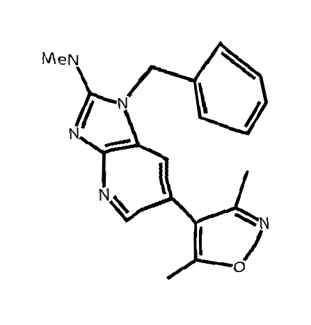 CNc1nc2ncc(-c3c(C)noc3C)cc2n1Cc1ccccc1